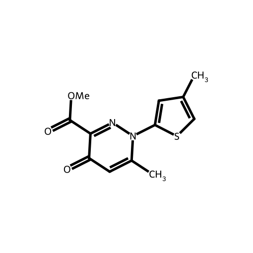 COC(=O)c1nn(-c2cc(C)cs2)c(C)cc1=O